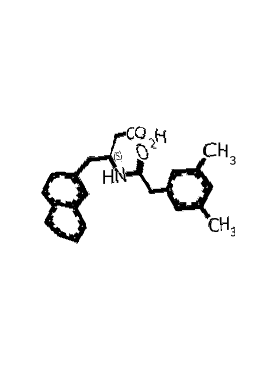 Cc1cc(C)cc(CC(=O)N[C@H](CC(=O)O)Cc2ccc3ccccc3c2)c1